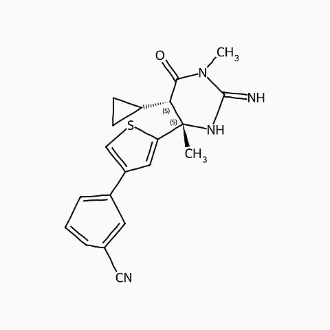 CN1C(=N)N[C@](C)(c2cc(-c3cccc(C#N)c3)cs2)[C@H](C2CC2)C1=O